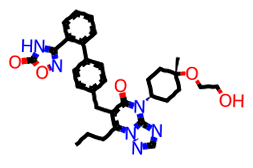 CCCc1c(Cc2ccc(-c3ccccc3-c3noc(=O)[nH]3)cc2)c(=O)n([C@H]2CC[C@@](C)(OCCO)CC2)c2ncnn12